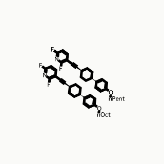 CCCCCCCCOc1ccc([C@H]2CC[C@H](C#Cc3ccc(F)nc3F)CC2)cc1.CCCCCOc1ccc([C@H]2CC[C@H](C#Cc3ccc(F)nc3F)CC2)cc1